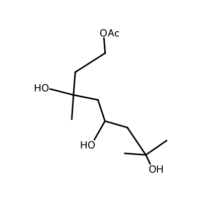 CC(=O)OCCC(C)(O)CC(O)CC(C)(C)O